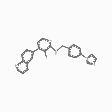 Fc1c(-c2ccc3ncccc3c2)ccnc1NCc1ccc(-n2ccnc2)cc1